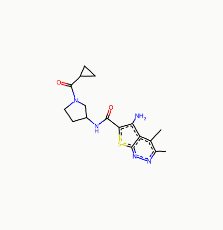 Cc1nnc2sc(C(=O)NC3CCN(C(=O)C4CC4)C3)c(N)c2c1C